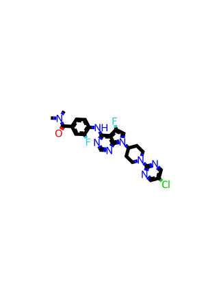 CN(C)C(=O)c1ccc(Nc2ncnc3c2c(F)cn3C2CCN(c3ncc(Cl)cn3)CC2)c(F)c1